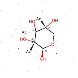 CC(=O)[C@]1(O)[C@@](O)(C(C)=O)CO[C@@H](O)[C@@]1(O)C(C)=O